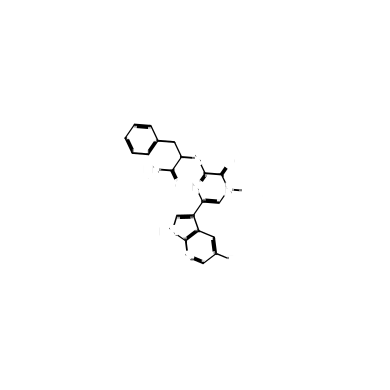 Cn1cc(-c2c[nH]c3ncc(F)cc23)nc(NC(Cc2ccccc2)C(N)=O)c1=O